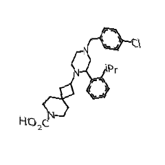 CC(C)c1ccccc1C1CN(Cc2ccc(Cl)cc2)CCN1C1CC2(CCN(C(=O)O)CC2)C1